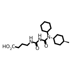 C[C@H]1CC[C@H](N(C(=O)NC(=O)NCCCC(=O)O)C2CCCCC2)CC1